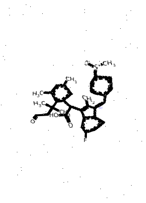 CC1=C(C(C(=O)O)c2cc(C)cc(C)c2C(C)(C)CC=O)c2cc(F)ccc2/C1=C/c1ccc([S+](C)[O-])cc1